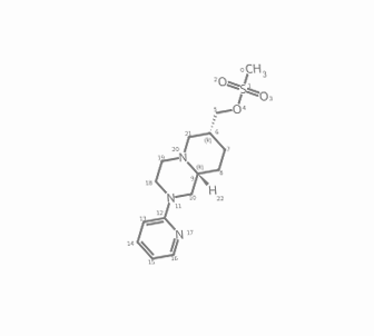 CS(=O)(=O)OC[C@@H]1CC[C@@H]2CN(c3ccccn3)CCN2C1